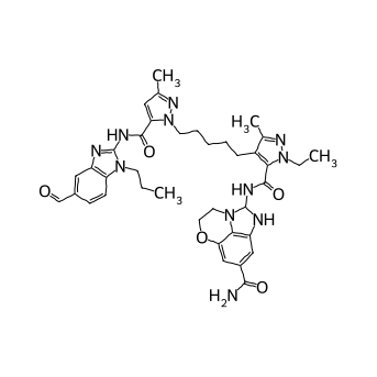 CCCn1c(NC(=O)c2cc(C)nn2CCCCCc2c(C)nn(CC)c2C(=O)NC2Nc3cc(C(N)=O)cc4c3N2CCO4)nc2cc(C=O)ccc21